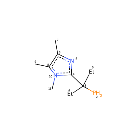 CCC(P)(CC)c1nc(C)c(C)n1C